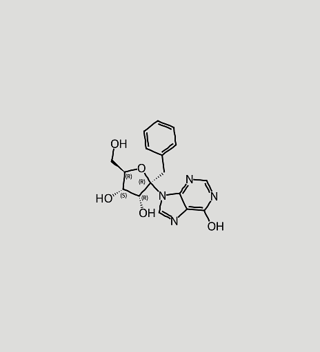 OC[C@H]1O[C@@](Cc2ccccc2)(n2cnc3c(O)ncnc32)[C@H](O)[C@@H]1O